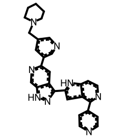 c1cc(-c2nccc3[nH]c(-c4n[nH]c5cnc(-c6cncc(CN7CCCCC7)c6)cc45)cc23)ccn1